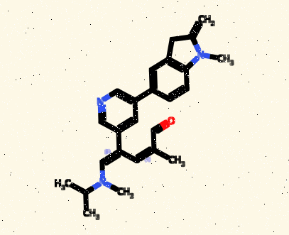 C=C1Cc2cc(-c3cncc(C(/C=C(/C)C=O)=C/N(C)C(C)C)c3)ccc2N1C